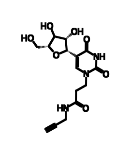 C#CCNC(=O)CCn1cc([C@@H]2O[C@H](CO)C(O)[C@@H]2O)c(=O)[nH]c1=O